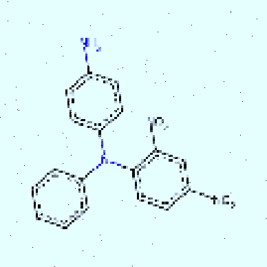 Nc1ccc(N(c2ccccc2)c2ccc([N+](=O)[O-])cc2[N+](=O)[O-])cc1